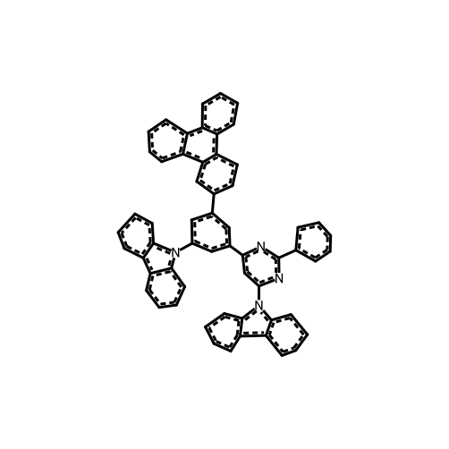 c1ccc(-c2nc(-c3cc(-c4ccc5c6ccccc6c6ccccc6c5c4)cc(-n4c5ccccc5c5ccccc54)c3)cc(-n3c4ccccc4c4ccccc43)n2)cc1